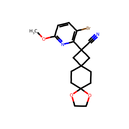 COc1ccc(Br)c(C2(C#N)CC3(CCC4(CC3)OCCO4)C2)n1